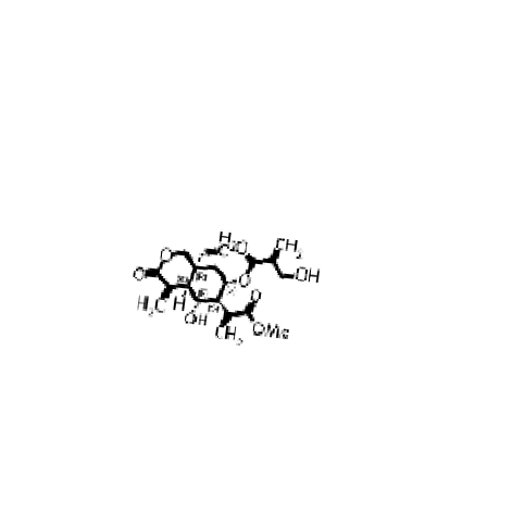 C=C[C@@]12COC(=O)C(=C)[C@@H]1[C@@H](O)[C@H](C(=C)C(=O)OC)[C@@H](OC(=O)C(=C)CO)C2